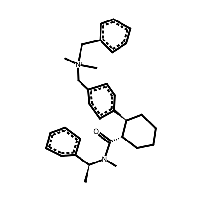 C[C@@H](c1ccccc1)N(C)C(=O)[C@H]1CCCC[C@@H]1c1ccc(C[N+](C)(C)Cc2ccccc2)cc1